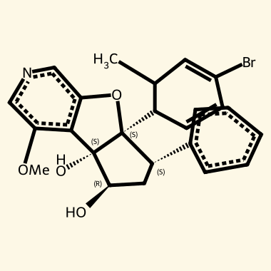 COc1cncc2c1[C@]1(O)[C@H](O)C[C@@H](c3ccccc3)[C@]1(C1C=CC(Br)=CC1C)O2